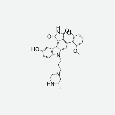 COc1cccc(Cl)c1-c1cc2c(c3c1C(=O)NC3=O)c1cc(O)ccc1n2CCCN1C[C@@H](C)N[C@@H](C)C1